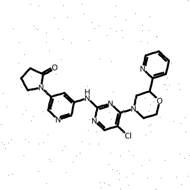 O=C1CCCN1c1cncc(Nc2ncc(Cl)c(N3CCOC(c4ccccn4)C3)n2)c1